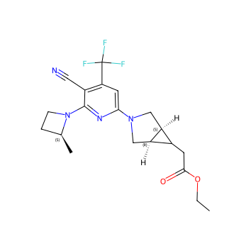 CCOC(=O)CC1[C@H]2CN(c3cc(C(F)(F)F)c(C#N)c(N4CC[C@@H]4C)n3)C[C@@H]12